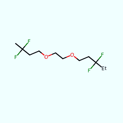 CCC(F)(F)CCOCCOCCC(C)(F)F